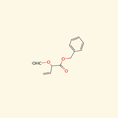 C=CC(O[C]=O)C(=O)OCc1ccccc1